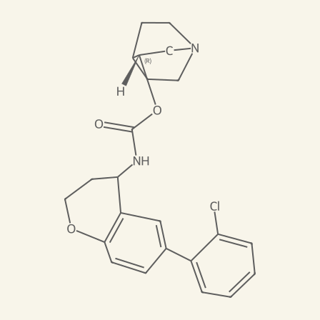 O=C(NC1CCOc2ccc(-c3ccccc3Cl)cc21)O[C@H]1CN2CCC1CC2